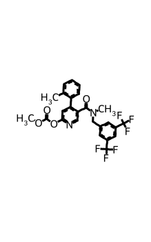 COC(=O)Oc1cc(-c2ccccc2C)c(C(=O)N(C)Cc2cc(C(F)(F)F)cc(C(F)(F)F)c2)cn1